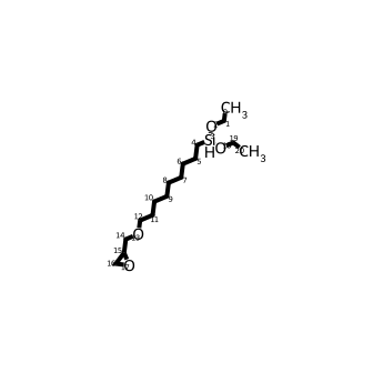 CCO[SiH](CCCCCCCCCOCC1CO1)OCC